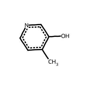 Cc1ccncc1O